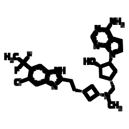 CN(C[C@@H]1C[C@@H](O)[C@H](n2ccc3c(N)ncnc32)C1)[C@H]1C[C@@H](CCc2nc3cc(Cl)c(C(C)(F)F)cc3[nH]2)C1